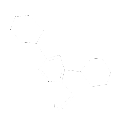 C=Cc1ccc(C2CCCCC2)cc1C1CCCCC1